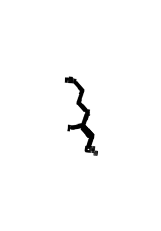 CC=C(F)SCCCCCC